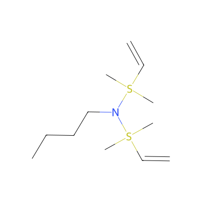 C=CS(C)(C)N(CCCC)S(C)(C)C=C